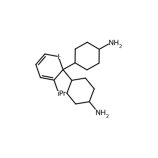 CC(C)C1=CC=C[I]C1(C1CCC(N)CC1)C1CCC(N)CC1